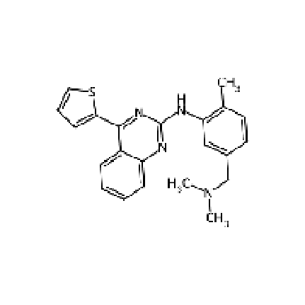 Cc1ccc(CN(C)C)cc1Nc1nc(-c2cccs2)c2ccccc2n1